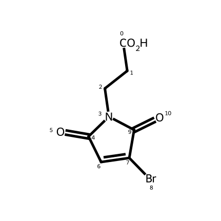 O=C(O)CCN1C(=O)C=C(Br)C1=O